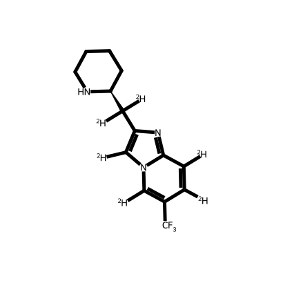 [2H]c1c(C(F)(F)F)c([2H])n2c([2H])c(C([2H])([2H])[C@@H]3CCCCN3)nc2c1[2H]